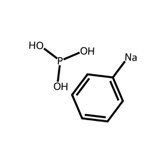 OP(O)O.[Na][c]1ccccc1